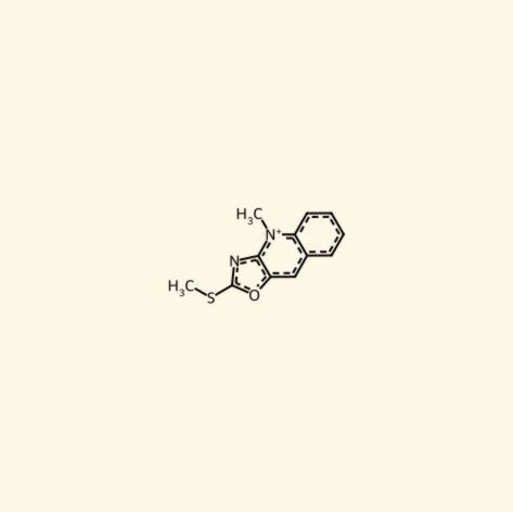 CSc1nc2c(cc3ccccc3[n+]2C)o1